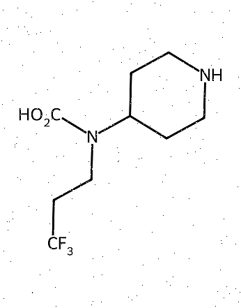 O=C(O)N(CCC(F)(F)F)C1CCNCC1